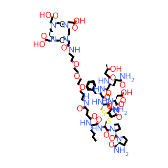 CCCC[C@H](NC(=O)CCC(=O)NCCCOCCOCCOCCCNC(=O)CN1CCN(CC(=O)O)CCN(CC(=O)O)CCN(CC(=O)O)CC1)C(=O)N[C@@H](CSC1=C(SC[C@H](NC(=O)[C@H](Cc2ccccc2)NC(=O)[C@H](CCC(N)=O)NC(=O)C[C@@H](C)O)C(=O)N[C@@H](CC(=O)O)C(N)=O)C(=O)N(C)C1=O)C(=O)N1CCC[C@H]1C(=O)N1CCC[C@H]1C(N)=O